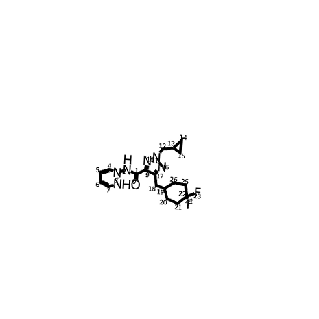 O=C(NN1C=CC=CN1)c1nn(CC2CC2)nc1CC1CCC(F)(F)CC1